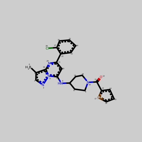 Bc1cnn2c(NC3CCN(C(=O)c4cccs4)CC3)cc(-c3ccccc3Cl)nc12